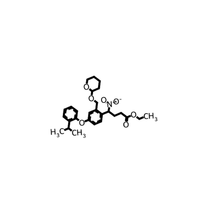 CCOC(=O)CCC(c1ccc(Oc2ccccc2C(C)C)cc1COC1CCCCO1)[N+](=O)[O-]